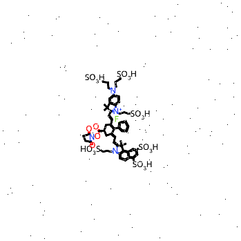 CC1(C)C(/C=C/C2=C(c3ccccc3F)C(=C/C=C3/N(CCCS(=O)(=O)O)c4ccc5c(S(=O)(=O)O)cc(S(=O)(=O)O)cc5c4C3(C)C)/CC(C(=O)ON3C(=O)CCC3=O)C2)=[N+](CCCS(=O)(=O)O)c2ccc(N(CCCS(=O)(=O)O)CCCS(=O)(=O)O)cc21